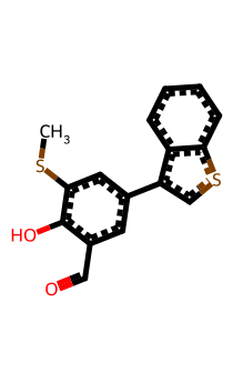 CSc1cc(-c2csc3ccccc23)cc(C=O)c1O